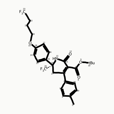 Cc1ccc(C2=C(C(=O)OC(C)(C)C)C(=O)N[C@@](c3ccc(OCCCC(F)(F)F)cc3)(C(F)(F)F)C2)cc1